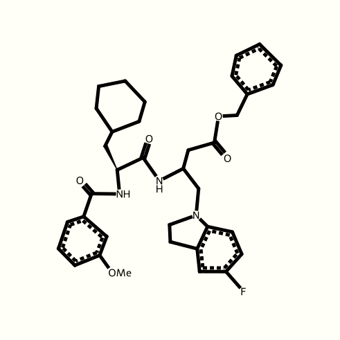 COc1cccc(C(=O)N[C@@H](CC2CCCCC2)C(=O)NC(CC(=O)OCc2ccccc2)CN2CCc3cc(F)ccc32)c1